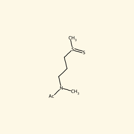 CC(=O)N(C)CCCS(C)=S